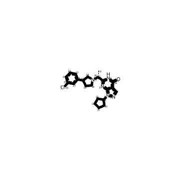 C[C@H](c1nc2c(cnn2C2CCCC2)c(=O)[nH]1)N1CCC(c2cccc(Cl)c2)C1